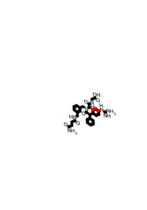 N=C(N)NCCC[C@H](C(=O)NCC(=O)O)N(Cc1cccc(CNC(=O)CCC(N)=O)c1)C(=O)C(c1ccccc1)c1ccccc1